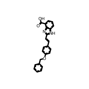 O=C(O)c1cccc2[nH]c(/C=C/c3ccc(OCc4ccccc4)cc3)nc12